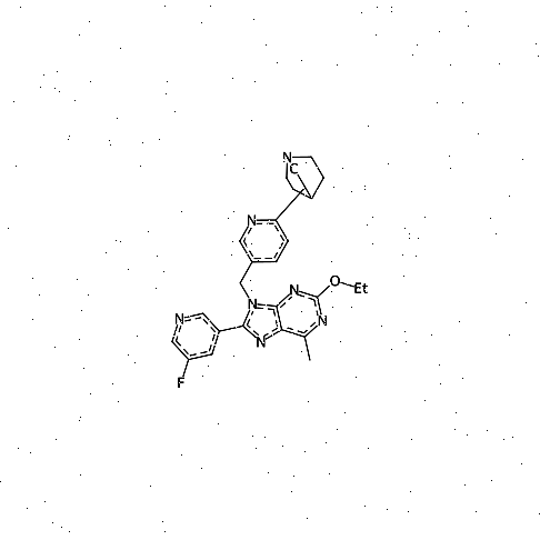 CCOc1nc(C)c2nc(-c3cncc(F)c3)n(Cc3ccc(C4CN5CCC4CC5)nc3)c2n1